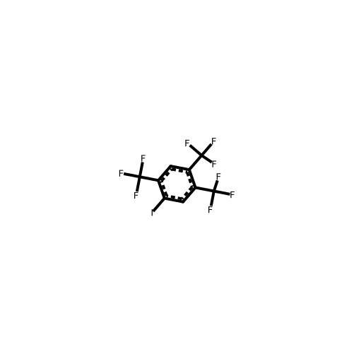 FC(F)(F)c1cc(C(F)(F)F)c(C(F)(F)F)cc1I